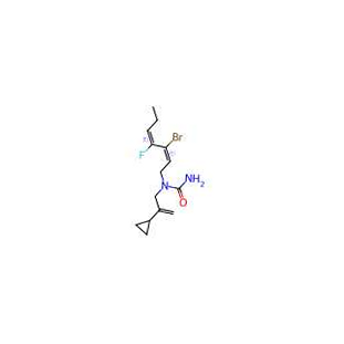 C=C(CN(C/C=C(Br)\C(F)=C/CC)C(N)=O)C1CC1